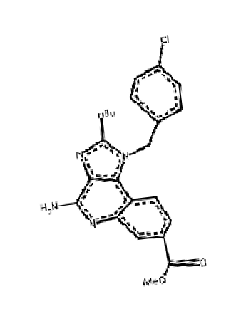 CCCCc1nc2c(N)nc3cc(C(=O)OC)ccc3c2n1Cc1ccc(Cl)cc1